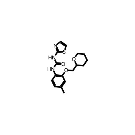 Cc1ccc(NC(=O)Nc2nccs2)c(OCC2CCCCO2)c1